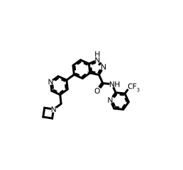 O=C(Nc1ncccc1C(F)(F)F)c1n[nH]c2ccc(-c3cncc(CN4CCC4)c3)cc12